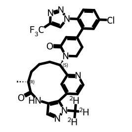 [2H]C([2H])([2H])n1ncc2c1-c1ccnc(c1)[C@@H](N1CCC(c3cc(Cl)ccc3-n3cc(C(F)(F)F)nn3)=CC1=O)CCC[C@@H](C)C(=O)N2